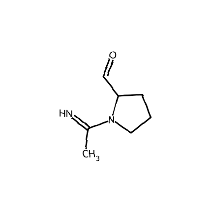 CC(=N)N1CCCC1C=O